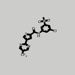 CS(=O)(=O)c1cc(Cl)cc(NC(=O)c2cc(-c3ncc(C(F)(F)F)cn3)cs2)c1